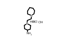 Cl.Cl.Cl.NC1CCN(CCN2CCCCCC2)CC1